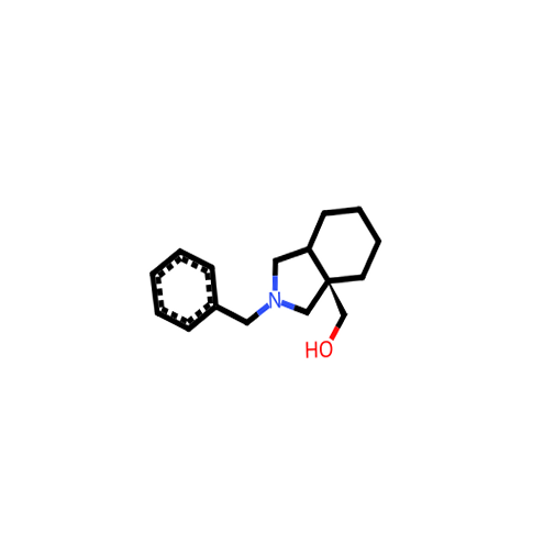 OC[C@]12CCCCC1CN(Cc1ccccc1)C2